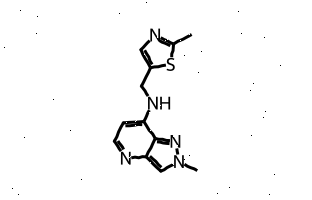 Cc1ncc(CNc2ccnc3cn(C)nc23)s1